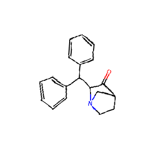 O=C1C2CCN(C2)C1C(c1ccccc1)c1ccccc1